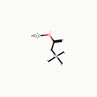 C=C(C[Si](C)(C)C)OC(=O)O